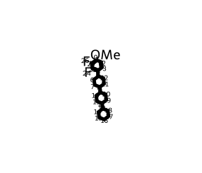 COc1ccc(C2CCC(C3CCC(C4CCCCC4)CC3)CC2)c(F)c1F